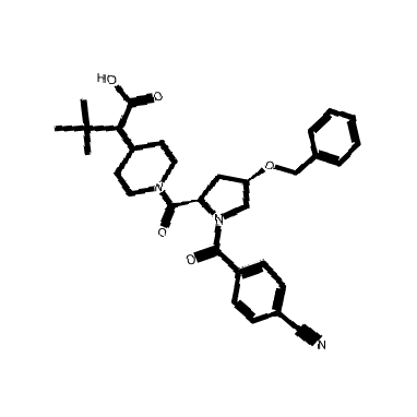 CC(C)(C)C(C(=O)O)C1CCN(C(=O)[C@H]2C[C@@H](OCc3ccccc3)CN2C(=O)c2ccc(C#N)cc2)CC1